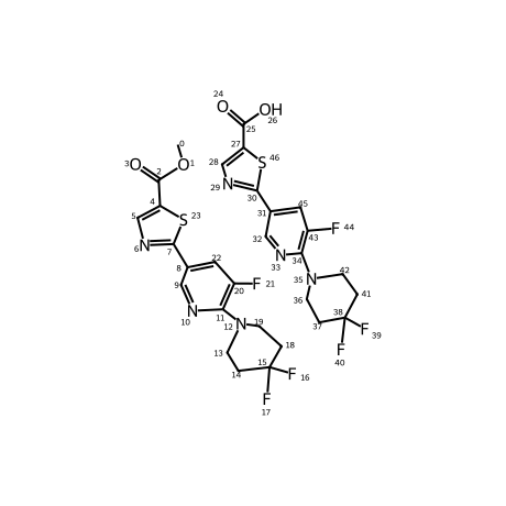 COC(=O)c1cnc(-c2cnc(N3CCC(F)(F)CC3)c(F)c2)s1.O=C(O)c1cnc(-c2cnc(N3CCC(F)(F)CC3)c(F)c2)s1